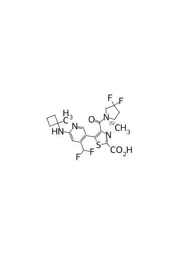 C[C@H]1CC(F)(F)CN1C(=O)c1nc(C(=O)O)sc1-c1cnc(NC2(C)CCC2)cc1C(F)F